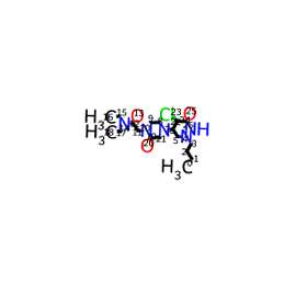 CCCCN1CC(N2CCN(CC(=O)N(CC)CC)C(=O)C2)C(Cl)C(=O)N1